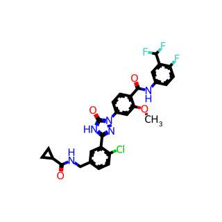 COc1cc(-n2nc(-c3cc(CNC(=O)C4CC4)ccc3Cl)[nH]c2=O)ccc1C(=O)Nc1ccc(F)c(C(F)F)c1